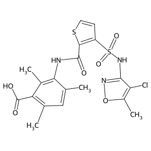 Cc1cc(C)c(C(=O)O)c(C)c1NC(=O)c1sccc1S(=O)(=O)Nc1noc(C)c1Cl